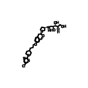 O=C(Cc1ccc(OCCCC2CCN(c3ncc(Cl)cn3)CC2)cc1F)N1CC[C@H](CNC[C@H](O)[C@H](O)[C@H](O)CO)C1